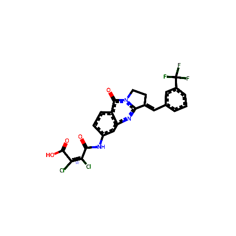 O=C(O)/C(Cl)=C(/Cl)C(=O)Nc1ccc2c(=O)n3c(nc2c1)C(=Cc1cccc(C(F)(F)F)c1)CC3